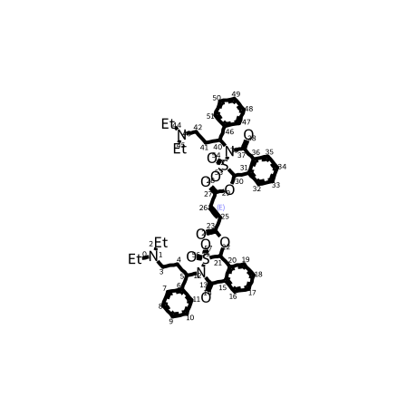 CCN(CC)CCC(c1ccccc1)N1C(=O)c2ccccc2C(OC(=O)/C=C/C(=O)OC2c3ccccc3C(=O)N(C(CCN(CC)CC)c3ccccc3)S2(=O)=O)S1(=O)=O